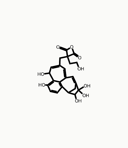 O=C1OC(=O)C1(CCO)CC1=CC(O)c2c(O)ccc3c2C(=C1)C=C1CC3C(O)C1(O)O